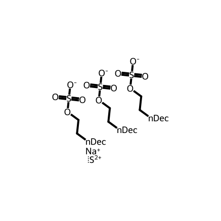 CCCCCCCCCCCCOS(=O)(=O)[O-].CCCCCCCCCCCCOS(=O)(=O)[O-].CCCCCCCCCCCCOS(=O)(=O)[O-].[Na+].[S+2]